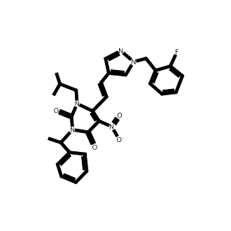 CC(C)Cn1c(/C=C/c2cnn(Cc3ccccc3F)c2)c([N+](=O)[O-])c(=O)n(C(C)c2ccccc2)c1=O